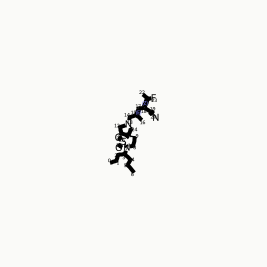 CCCC(CCC)N1CC[C@]2(CCN(C/C(C)=C/C(C#N)=C(\C)F)C2)S1(=O)=O